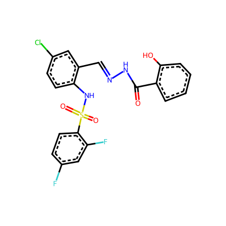 O=C(NN=Cc1cc(Cl)ccc1NS(=O)(=O)c1ccc(F)cc1F)c1ccccc1O